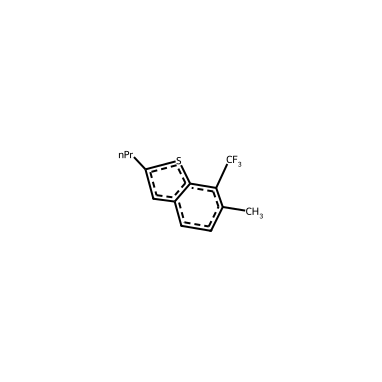 CCCc1cc2ccc(C)c(C(F)(F)F)c2s1